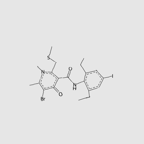 CCc1cc(I)cc(CC)c1NC(=O)c1c(CSC)n(C)c(C)c(Br)c1=O